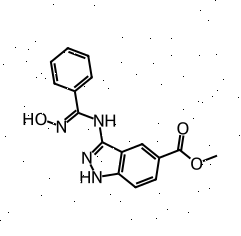 COC(=O)c1ccc2[nH]nc(NC(=NO)c3ccccc3)c2c1